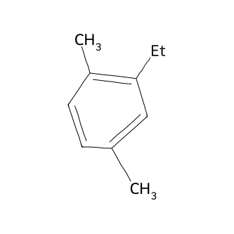 CCc1cc(C)ccc1C